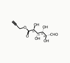 C#CCOC(=O)[C@@H](O)[C@@H](O)[C@H](O)[C@@H](O)C=O